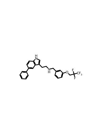 FC(F)(F)C(F)(F)COc1cccc(CNCCc2c[nH]c3ccc(-c4ccccc4)cc23)c1